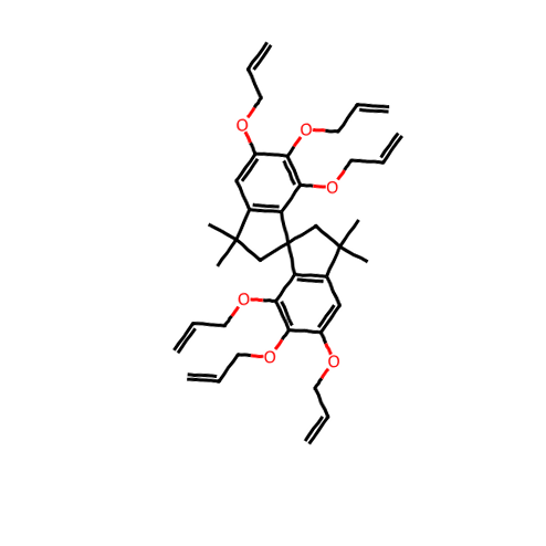 C=CCOc1cc2c(c(OCC=C)c1OCC=C)C1(CC2(C)C)CC(C)(C)c2cc(OCC=C)c(OCC=C)c(OCC=C)c21